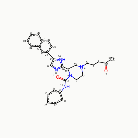 CCC(=O)CCCN1CCN(C(=O)Nc2ccccc2)C(c2ncc(-c3ccc4ccccc4c3)[nH]2)C1